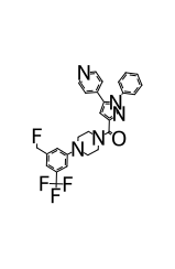 O=C(c1cc(-c2ccncc2)n(-c2ccccc2)n1)N1CCN(c2cc(CF)cc(C(F)(F)F)c2)CC1